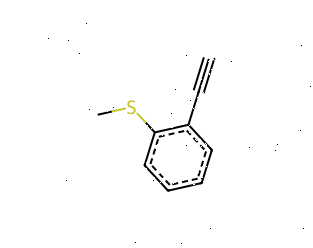 [C]#Cc1ccccc1SC